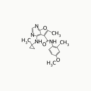 COc1ccc(NC(=O)c2c(C)oc3ncnc(NC4(C)CC4)c23)c(C)c1